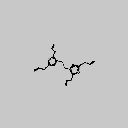 C=CCc1cc(SSc2cc(CC=C)oc2CC=C)c(CC=C)o1